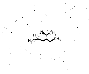 CCCCCC.CN=NC